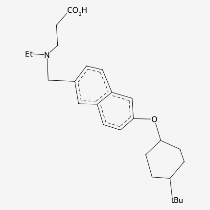 CCN(CCC(=O)O)Cc1ccc2cc(OC3CCC(C(C)(C)C)CC3)ccc2c1